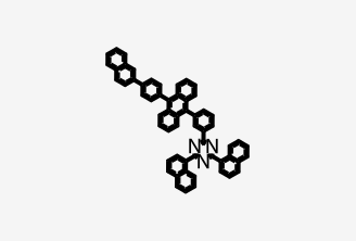 c1cc(-c2nc(-c3cccc4ccccc34)nc(-c3cccc4ccccc34)n2)cc(-c2c3ccccc3c(-c3ccc(-c4ccc5ccccc5c4)cc3)c3ccccc23)c1